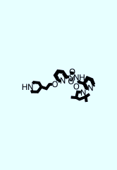 CC1CN(c2ncccc2C(=O)NS(=O)(=O)c2cccc(OCCC3CCNCC3)n2)C(C)(C)C1